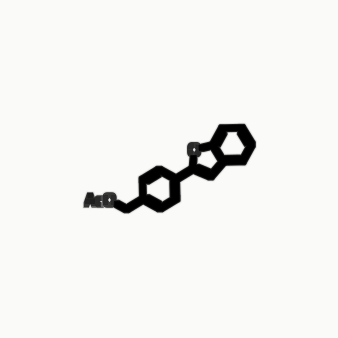 CC(=O)OCc1ccc(-c2cc3ccccc3o2)cc1